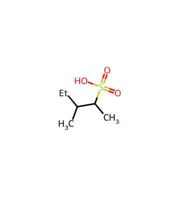 CCC(C)C(C)S(=O)(=O)O